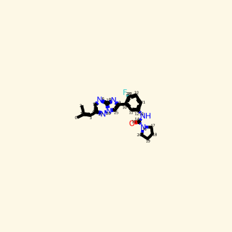 CC(C)=Cc1cnc2nc(-c3cc(NC(=O)N4CCCC4)ccc3F)cn2n1